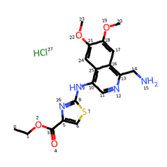 CCOC(=O)c1csc(Nc2cnc(CN)c3cc(OC)c(OC)cc23)n1.Cl